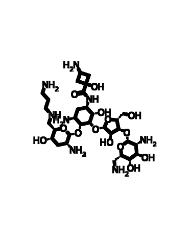 NCCCNC[C@H]1O[C@H](O[C@H]2[C@H](O[C@@H]3O[C@H](CO)[C@@H](O[C@H]4O[C@@H](CN)[C@@H](O)[C@H](O)[C@H]4N)[C@H]3O)[C@@H](O)[C@H](NC(=O)C3(O)CC(N)C3)C[C@@H]2N)[C@H](N)C[C@@H]1O